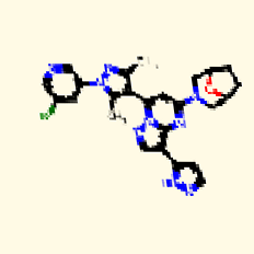 Cc1nn(-c2cncc(Br)c2)c(C)c1-c1cc(N2CC3CCC(C2)O3)nc2c(-c3ccn[nH]3)cnn12